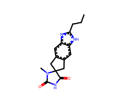 CCCc1nc2cc3c(cc2[nH]1)CC1(C3)C(=O)NC(=O)N1C